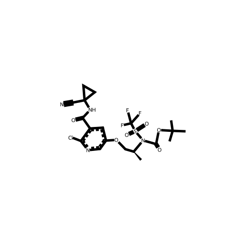 C[C@@H](COc1cnc(Cl)c(C(=O)NC2(C#N)CC2)c1)N(C(=O)OC(C)(C)C)S(=O)(=O)C(F)(F)F